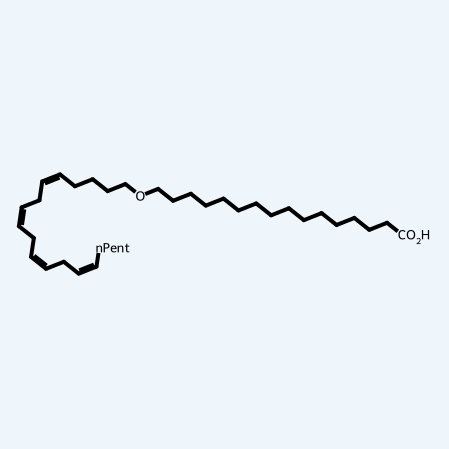 CCCCC/C=C\C/C=C\C/C=C\C/C=C\CCCCOCCCCCCCCCCCCCCCC(=O)O